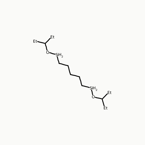 CCC(CC)O[SiH2]CCCCC[SiH2]OC(CC)CC